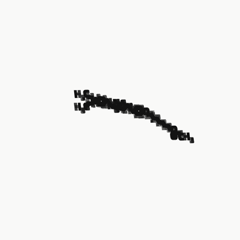 CCCN(CCC)c1ccc(N=Nc2nc3sc(N=Nc4ccc(OCCCCCCCCCOC(=O)CC)cc4)cc3s2)cc1